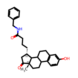 C[C@]12CCC3c4ccc(O)cc4CCC3C1[C@@H](CCCC(=O)NCc1ccccc1)CC2=O